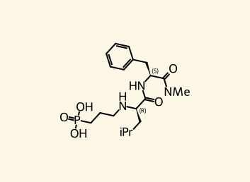 CNC(=O)[C@H](Cc1ccccc1)NC(=O)[C@@H](CC(C)C)NCCCP(=O)(O)O